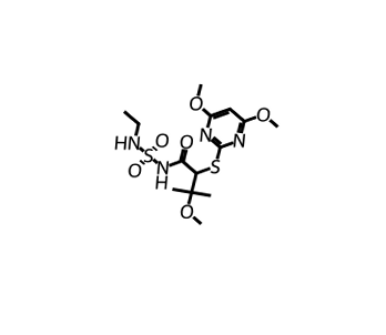 CCNS(=O)(=O)NC(=O)C(Sc1nc(OC)cc(OC)n1)C(C)(C)OC